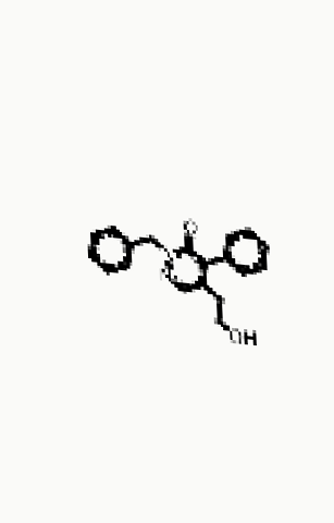 O=c1c(-c2ccccc2)c(CCO)cnn1Cc1ccccc1